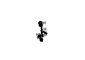 CC(=O)NCCN(CCCCc1ccc2c(n1)NCCC2)CC[C@H](Nc1ccnc(-c2ccccc2)n1)C(=O)O